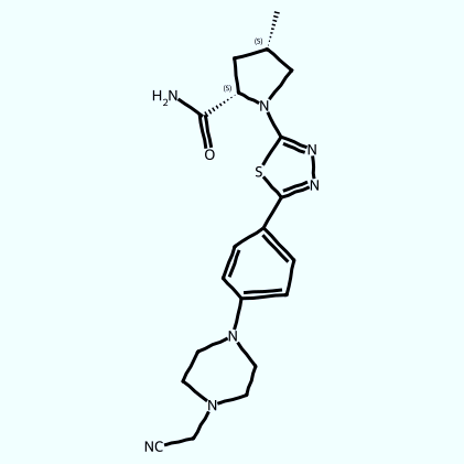 C[C@H]1C[C@@H](C(N)=O)N(c2nnc(-c3ccc(N4CCN(CC#N)CC4)cc3)s2)C1